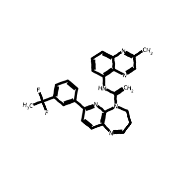 C=C(Nc1cccc2nc(C)cnc12)N1CCC=Nc2ccc(-c3cccc(C(C)(F)F)c3)nc21